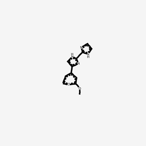 COc1cccc(-c2c[nH]c(-c3ncc[nH]3)n2)c1